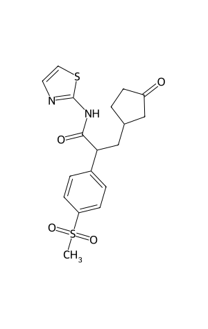 CS(=O)(=O)c1ccc(C(CC2CCC(=O)C2)C(=O)Nc2nccs2)cc1